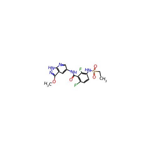 CCS(=O)(=O)Nc1ccc(F)c(C(=O)Nc2cnc3[nH]nc(OC)c3c2)c1F